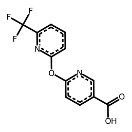 O=C(O)c1ccc(Oc2cccc(C(F)(F)F)n2)nc1